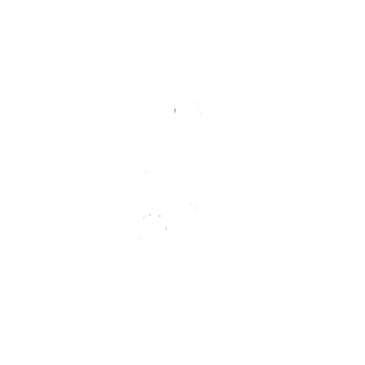 O=C(O)COC/C=C\CC1C(COCc2ccccc2)C2CC1(c1ccc(F)cc1)CO2